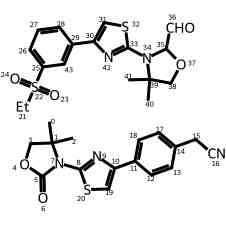 CC1(C)COC(=O)N1c1nc(-c2ccc(CC#N)cc2)cs1.CCS(=O)(=O)c1cccc(-c2csc(N3C(C=O)OCC3(C)C)n2)c1